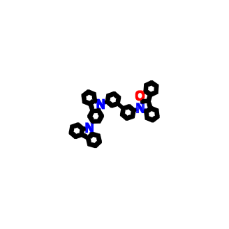 c1cc(-c2cccc(-n3c4ccccc4c4c5ccccc5oc43)c2)cc(-n2c3ccccc3c3cc(-n4c5ccccc5c5ccccc54)ccc32)c1